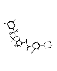 CN1CCN(c2ccc(C(=O)Nc3n[nH]c4c3CN(S(=O)(=O)c3cc(F)cc(F)c3)C4(C)C)c(F)c2)CC1